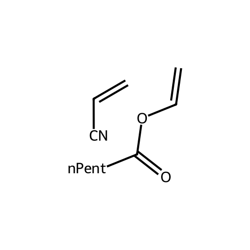 C=CC#N.C=COC(=O)CCCCC